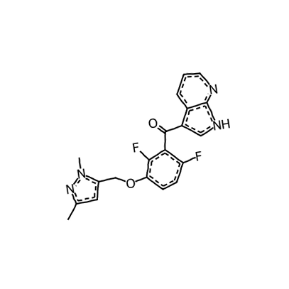 Cc1cc(COc2ccc(F)c(C(=O)c3c[nH]c4ncccc34)c2F)n(C)n1